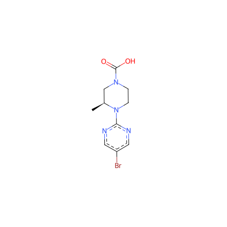 C[C@H]1CN(C(=O)O)CCN1c1ncc(Br)cn1